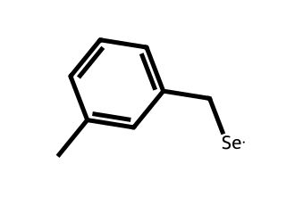 Cc1cccc(C[Se])c1